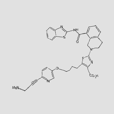 CNCC#Cc1ccc(OCCCc2sc(N3CCc4cccc(C(=O)Nc5nc6ccccc6s5)c4C3)nc2C(=O)O)cn1